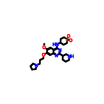 COc1cc2c(NC3CCS(=O)(=O)CC3)nc(C3CCCNC3)nc2cc1OCCCN1CCCC1